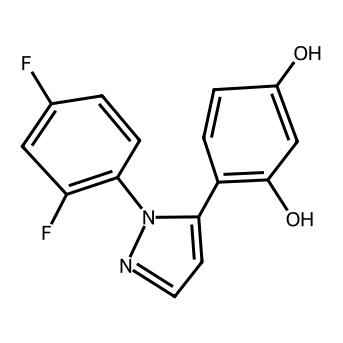 Oc1ccc(-c2ccnn2-c2ccc(F)cc2F)c(O)c1